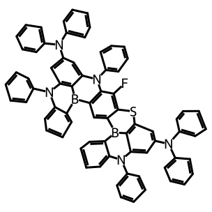 Fc1c2c(cc3c1N(c1ccccc1)c1cc(N(c4ccccc4)c4ccccc4)cc4c1B3c1ccccc1N4c1ccccc1)B1c3ccccc3N(c3ccccc3)c3cc(N(c4ccccc4)c4ccccc4)cc(c31)S2